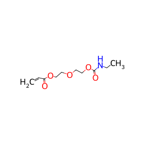 C=CC(=O)OCCOCCOC(=O)NCC